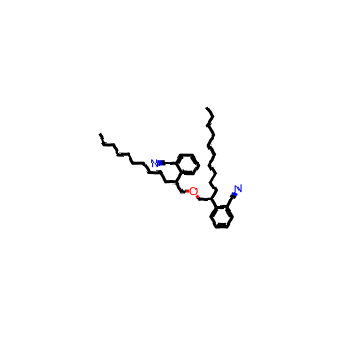 CCCCCCCCCCC(COCC(CCCCCCCCCC)c1ccccc1C#N)c1ccccc1C#N